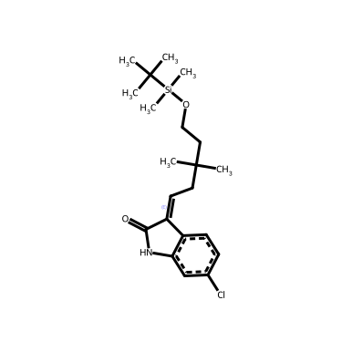 CC(C)(C/C=C1/C(=O)Nc2cc(Cl)ccc21)CCO[Si](C)(C)C(C)(C)C